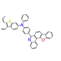 C=Cc1c(/C=C\C)sc2cc(N(c3ccccc3)c3ccc(-c4nc5ccccc5c5c4ccc4c6ccccc6oc45)cc3)ccc12